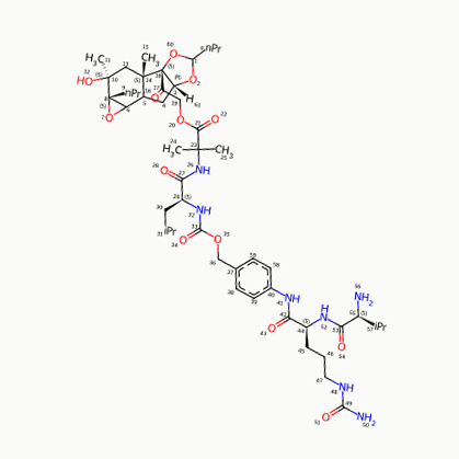 CCCC1O[C@@H]2CC3C4O[C@]4(CCC)[C@@](C)(O)C[C@]3(C)[C@]2(C(=O)COC(=O)C(C)(C)NC(=O)[C@H](CC(C)C)NC(=O)OCc2ccc(NC(=O)[C@H](CCCNC(N)=O)NC(=O)[C@@H](N)C(C)C)cc2)O1